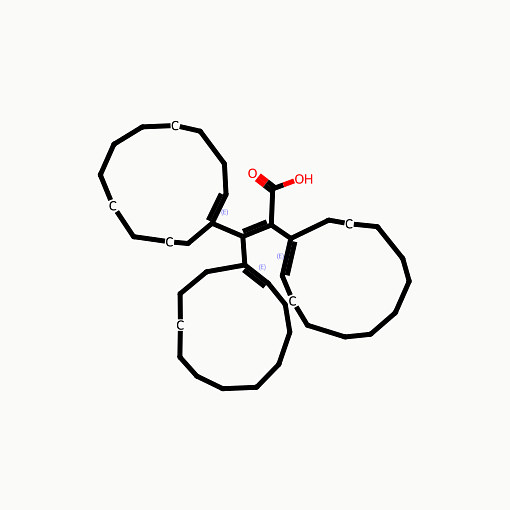 O=C(O)C(=C(C1=C/CCCCCCCCCC\1)/C1=C/CCCCCCCCCC1)/C1=C/CCCCCCCCCC1